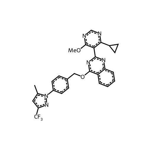 COc1ncnc(C2CC2)c1-c1nc(OCc2ccc(-n3nc(C(F)(F)F)cc3C)cc2)c2ccccc2n1